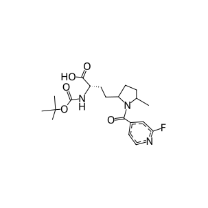 CC1CCC(CC[C@H](NC(=O)OC(C)(C)C)C(=O)O)N1C(=O)c1ccnc(F)c1